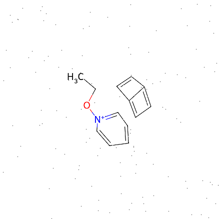 CCO[n+]1ccccc1.c1cc2ccc1-2